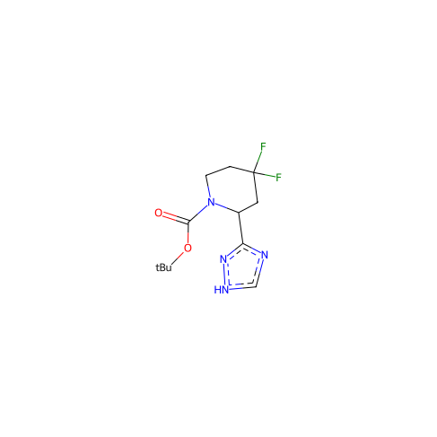 CC(C)(C)OC(=O)N1CCC(F)(F)CC1c1nc[nH]n1